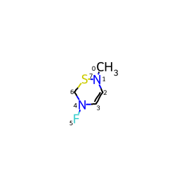 CN1C=CN(F)CS1